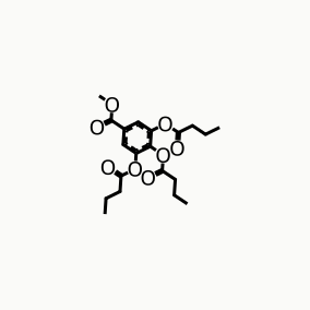 CCCC(=O)Oc1cc(C(=O)OC)cc(OC(=O)CCC)c1OC(=O)CCC